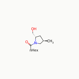 CCCCCCC(=O)N1C[C@H](C)C[C@H]1CO